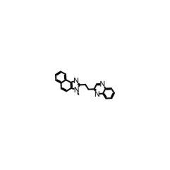 Cn1c(CCc2cnc3ccccc3n2)nc2c3ccccc3ccc21